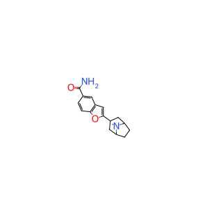 CN1C2CCC1CC(c1cc3cc(C(N)=O)ccc3o1)C2